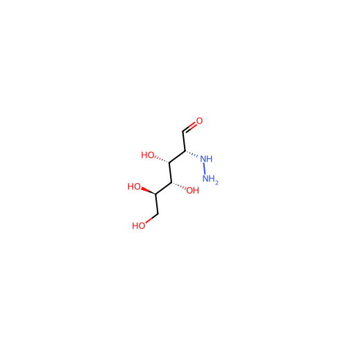 NN[C@@H](C=O)[C@@H](O)[C@H](O)[C@H](O)CO